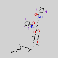 Cc1c(C)c2c(c(C)c1OC(=O)C(CCCCNC(=O)c1cc(I)cc(I)c1I)NC(=O)c1cc(I)cc(I)c1I)CCC(C)(CCCC(C)CCCC(C)CCCC(C)C)O2